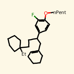 CCCCCOc1ccc(C(CCC2(CC)CCCCC2)CC2=CCCCC2)cc1F